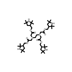 CC1(C)CC(COC(=O)CN(CCN(CC(=O)OCC2CC(C)(C)NC2(C)C)CC(=O)OCC2CC(C)(C)NC2(C)C)CC(=O)OCC2CC(C)(C)NC2(C)C)C(C)(C)N1